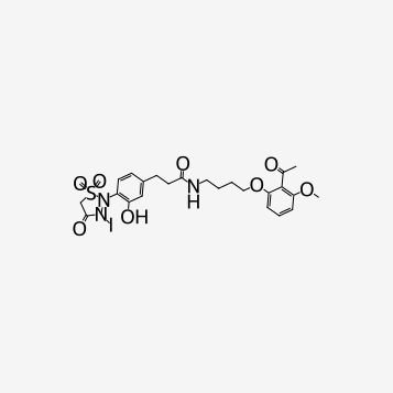 COc1cccc(OCCCCNC(=O)CCc2ccc(N3N(I)C(=O)CS3(=O)=O)c(O)c2)c1C(C)=O